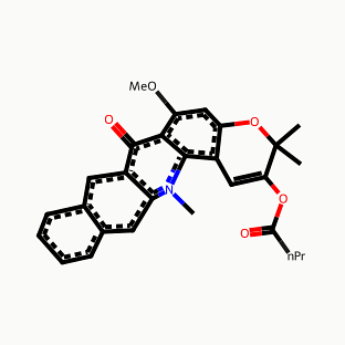 CCCC(=O)OC1=Cc2c(cc(OC)c3c(=O)c4cc5ccccc5cc4n(C)c23)OC1(C)C